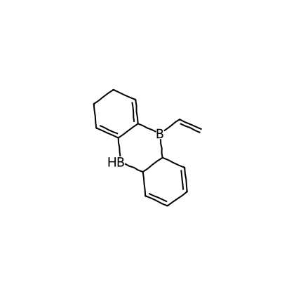 C=CB1C2=CCCC=C2BC2C=CC=CC12